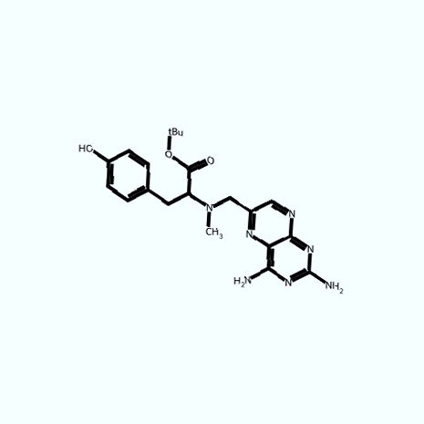 CN(Cc1cnc2nc(N)nc(N)c2n1)C(Cc1ccc(O)cc1)C(=O)OC(C)(C)C